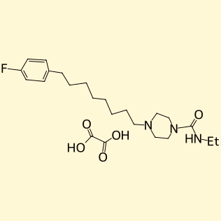 CCNC(=O)N1CCN(CCCCCCCCc2ccc(F)cc2)CC1.O=C(O)C(=O)O